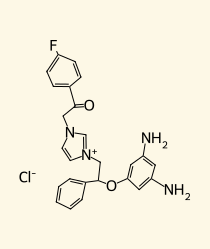 Nc1cc(N)cc(OC(C[n+]2ccn(CC(=O)c3ccc(F)cc3)c2)c2ccccc2)c1.[Cl-]